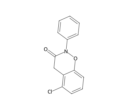 O=C1Cc2c(Cl)cccc2ON1c1ccccc1